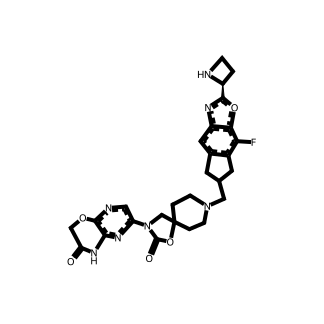 O=C1COc2ncc(N3CC4(CCN(CC5Cc6cc7nc([C@@H]8CCN8)oc7c(F)c6C5)CC4)OC3=O)nc2N1